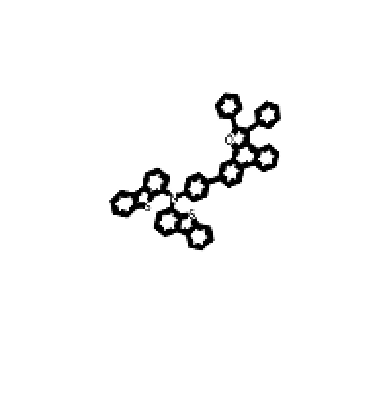 c1ccc(-c2oc3c4cc(-c5ccc(N(c6cccc7c6sc6ccccc67)c6cccc7c6sc6ccccc67)cc5)ccc4c4ccccc4c3c2-c2ccccc2)cc1